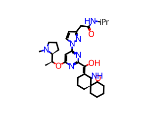 CC(C)NC(=O)Cc1ccn(-c2cc(O[C@@H](C)[C@@H]3CCCN3C)nc(/C(O)=C3\CCC[C@@]4(CCCCC4=O)C3=N)n2)n1